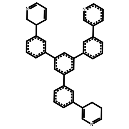 C1=CC(c2cccc(-c3cc(-c4cccc(C5=CN=CCC5)c4)cc(-c4cccc(-c5cccnc5)c4)c3)c2)CN=C1